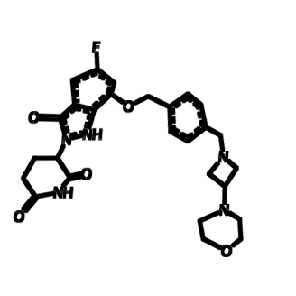 O=C1CCC(n2[nH]c3c(OCc4ccc(CN5CC(N6CCOCC6)C5)cc4)cc(F)cc3c2=O)C(=O)N1